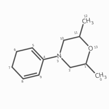 CC1CN(C2=CCCC=C2)CC(C)O1